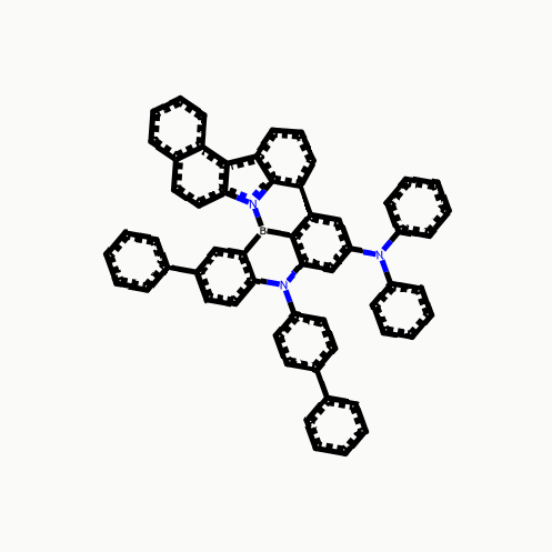 c1ccc(-c2ccc(N3c4ccc(-c5ccccc5)cc4B4c5c(cc(N(c6ccccc6)c6ccccc6)cc53)-c3cccc5c6c7ccccc7ccc6n4c35)cc2)cc1